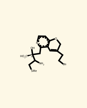 CSCC(N)[C@](O)(Cc1nccc2c1C=C(CCC(C)C)CO2)C(=O)O